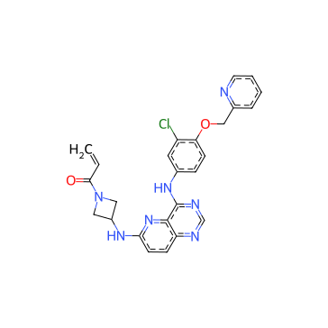 C=CC(=O)N1CC(Nc2ccc3ncnc(Nc4ccc(OCc5ccccn5)c(Cl)c4)c3n2)C1